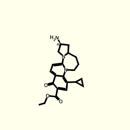 CCOC(=O)c1cc(C2CC2)c2n3c(ccc-2c1=O)N1C[C@@H](N)CC1CCC3